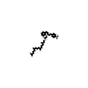 C/C(=C\COC(=O)C[n+]1c(/C=C/c2ccc(N(C)C)cc2)ccc2ccccc21)CCCC(C)CCCC(C)CCCC(C)C